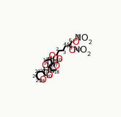 O=C(CCC[C@@H](CO[N+](=O)[O-])O[N+](=O)[O-])O[C@@H]1CO[C@H]2[C@@H]1OC[C@H]2OC1CCCCO1